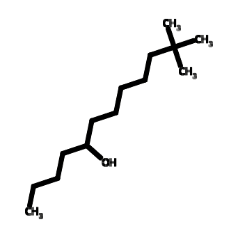 CCCCC(O)CCCCCC(C)(C)C